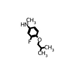 CNc1ccc(OCC(C)C)c(F)c1